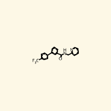 O=C(NCc1ccccn1)c1cccc(-c2ccc(C(F)(F)F)cc2)c1